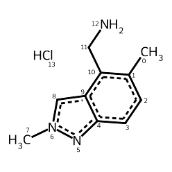 Cc1ccc2nn(C)cc2c1CN.Cl